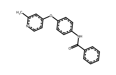 Cc1cc(Oc2ccc(NC(=O)c3ccccc3)cc2)ccn1